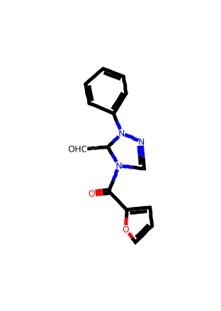 O=CC1N(C(=O)c2ccco2)C=NN1c1ccccc1